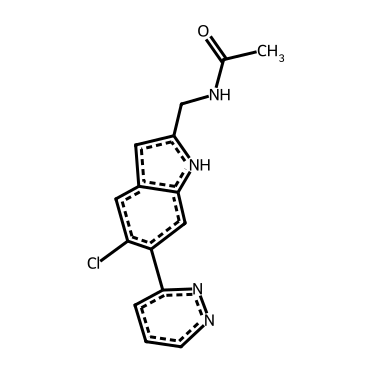 CC(=O)NCc1cc2cc(Cl)c(-c3cccnn3)cc2[nH]1